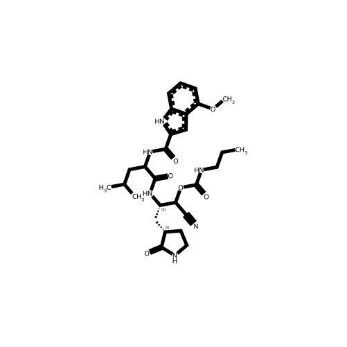 CCCNC(=O)OC(C#N)[C@H](C[C@@H]1CCNC1=O)NC(=O)C(CC(C)C)NC(=O)c1cc2c(OC)cccc2[nH]1